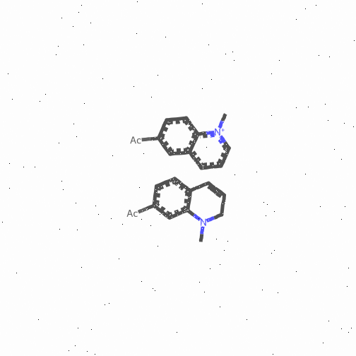 CC(=O)c1ccc2c(c1)N(C)CC=C2.CC(=O)c1ccc2c(ccc[n+]2C)c1